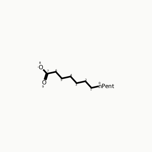 CCCCCCCCCCCC([O])=O